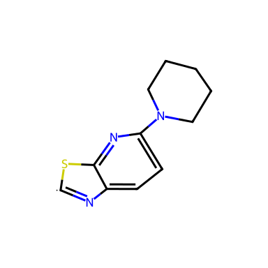 [c]1nc2ccc(N3CCCCC3)nc2s1